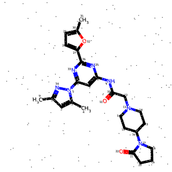 Cc1cc(C)n(-c2cc(NC(=O)CN3CCC(N4CCCC4=O)CC3)nc(-c3ccc(C)o3)n2)n1